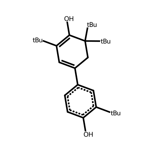 CC(C)(C)C1=C(O)C(C(C)(C)C)(C(C)(C)C)CC(c2ccc(O)c(C(C)(C)C)c2)=C1